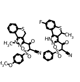 CC1Sc2ccc(F)cc2-c2[nH]nc(C(=O)C(C#N)S(=O)(=O)c3ccccc3)c21.COc1ccc(S(=O)(=O)C(C#N)C(=O)c2nn(C)c3c2CSc2ccccc2-3)cc1